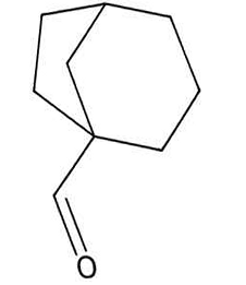 O=CC12CCCC(CC1)C2